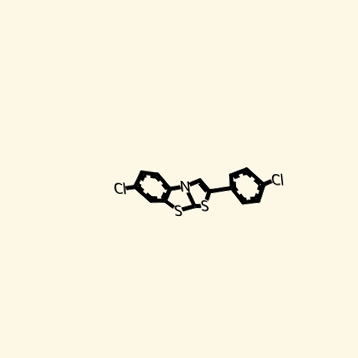 Clc1ccc(C2=CN3c4ccc(Cl)cc4SC3S2)cc1